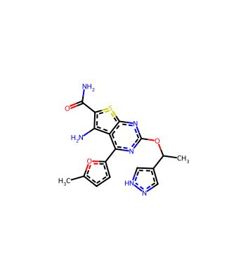 Cc1ccc(-c2nc(OC(C)c3cn[nH]c3)nc3sc(C(N)=O)c(N)c23)o1